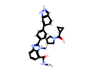 CNC(=O)c1cccc2nc(-c3ccc(-c4ccc5cn[nH]c5c4)cc3)n(C[C@@H]3CCN(C(=O)C4CC4)C3)c12